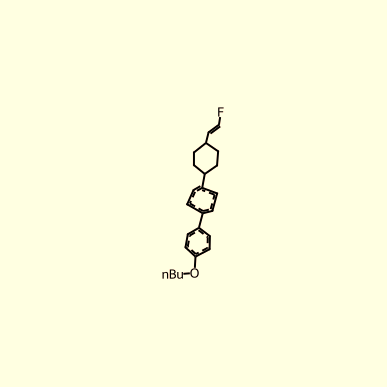 CCCCOc1ccc(-c2ccc(C3CCC(C=CF)CC3)cc2)cc1